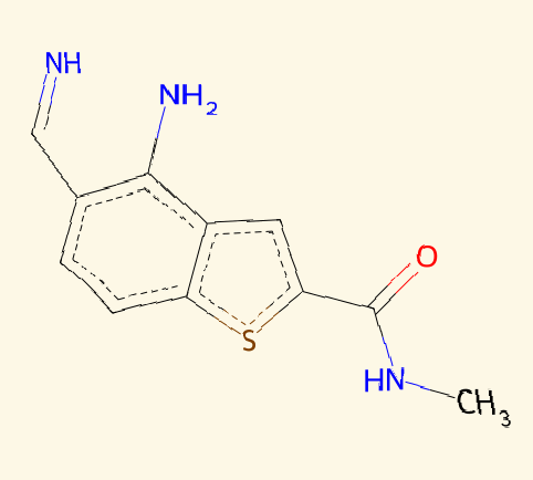 CNC(=O)c1cc2c(N)c(C=N)ccc2s1